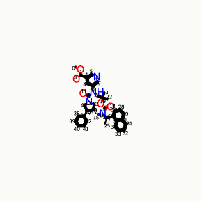 COC(=O)c1cncc(NC(=O)N2C[C@H](CN(C(=O)OC(C)(C)C)[C@H](C)c3cccc4ccccc34)[C@@H](c3ccccc3)C2)c1